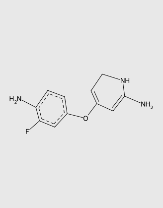 NC1=CC(Oc2ccc(N)c(F)c2)=CCN1